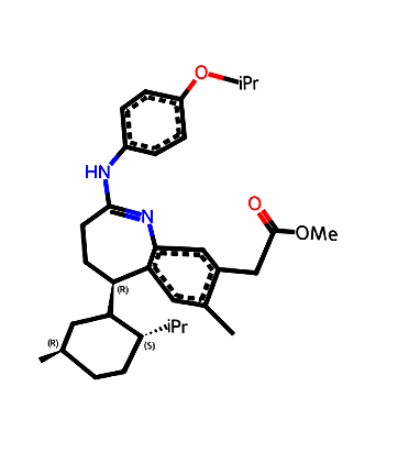 COC(=O)Cc1cc2c(cc1C)[C@@H](C1C[C@H](C)CC[C@H]1C(C)C)CCC(Nc1ccc(OC(C)C)cc1)=N2